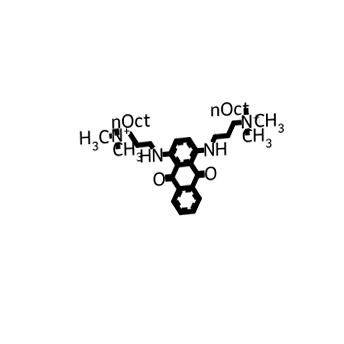 CCCCCCCC[N+](C)(C)CCCNc1ccc(NCCC[N+](C)(C)CCCCCCCC)c2c1C(=O)c1ccccc1C2=O